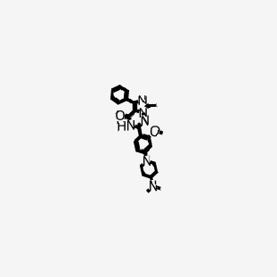 COc1cc(N2CCC(N(C)C)CC2)ccc1-c1nn2c(C)nc(-c3ccccc3)c2c(=O)[nH]1